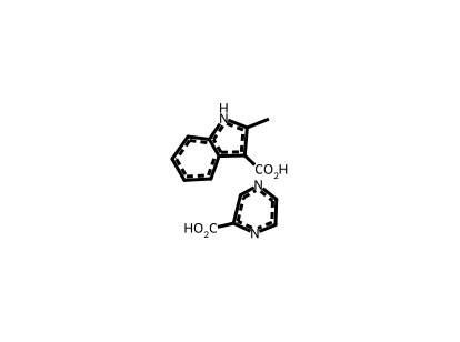 Cc1[nH]c2ccccc2c1C(=O)O.O=C(O)c1cnccn1